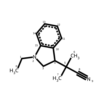 CCN1CC(C(C)(C)C#N)c2ccccc21